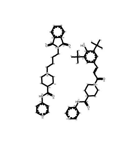 CC(C)(C)c1cc(C=CC(=O)N2CCC(C(=O)Nc3ccncc3)CC2)cc(C(C)(C)C)c1O.O=C(Nc1ccncc1)C1CCN(CCCCN2C(=O)c3ccccc3C2=O)CC1